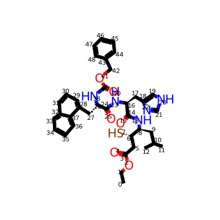 CCOC(=O)C[C@H](S)[C@H](CC(C)C)NC(=O)[C@H](Cc1c[nH]cn1)NC(=O)[C@H](Cc1cccc2ccccc12)NC(=O)OCc1ccccc1